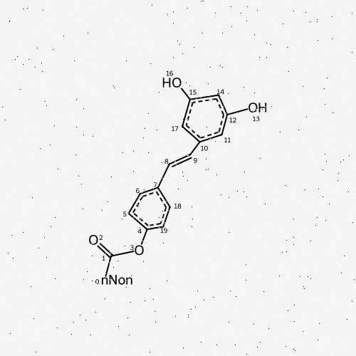 CCCCCCCCCC(=O)Oc1ccc(C=Cc2cc(O)cc(O)c2)cc1